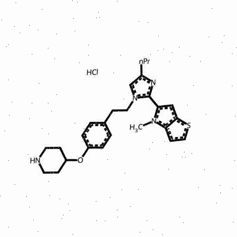 CCCc1cn(CCc2ccc(OC3CCNCC3)cc2)c(-c2cc3sccc3n2C)n1.Cl